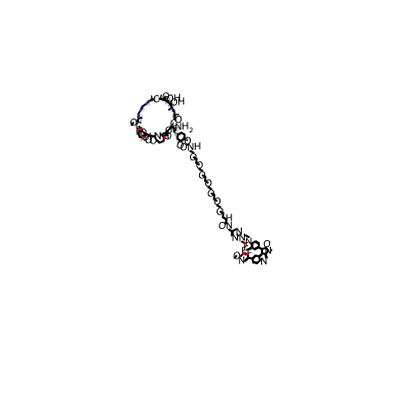 COc1ccc(-c2ccc3ncc4c(c3c2)C(c2ccc(N3CCN(c5ncc(CNC(=O)CCCOCCOCCOCCOCCOCCOCCOCCNC(=O)O[C@@H]6CC[C@@H](C[C@@H](N)[C@@H]7CC(=O)[C@H](C)/C=C(\C)[C@@H](O)[C@@H](O)C(=O)[C@H](C)C[C@H](C)/C=C/C=C/C=C(\C)[C@@H](OC)C[C@@H]8CC[C@@H](C)[C@@](O)(O8)C(=O)C(=O)N8CCCC[C@H]8C(=O)O7)C[C@H]6OC)cn5)CC3)c(C(F)(F)F)c2)C(=O)N4C)cn1